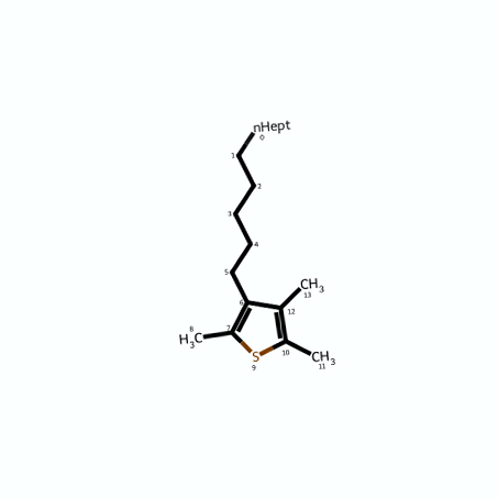 CCCCCCCCCCCCc1c(C)sc(C)c1C